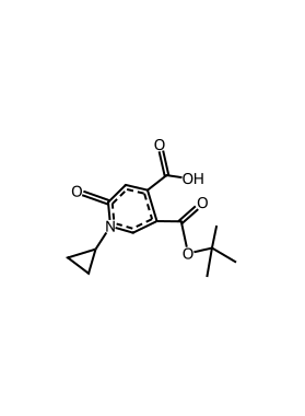 CC(C)(C)OC(=O)c1cn(C2CC2)c(=O)cc1C(=O)O